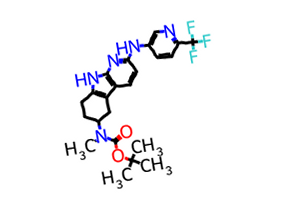 CN(C(=O)OC(C)(C)C)C1CCc2[nH]c3nc(Nc4ccc(C(F)(F)F)nc4)ccc3c2C1